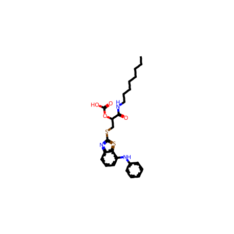 CCCCCCCCNC(=O)C(CSc1nc2cccc(Nc3ccccc3)c2s1)OC(=O)O